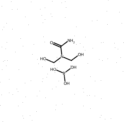 NC(=O)N(CO)CO.OB(O)O